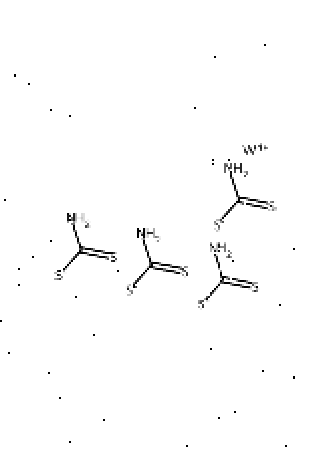 NC(=S)[S-].NC(=S)[S-].NC(=S)[S-].NC(=S)[S-].[W+4]